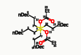 CCCCCCCCCCCCS(CCCCCCCCCCCC)(CCCCCCCCCCCC)(CCCCCCCCCCCC)(OC(=O)CC)OC(=O)CC